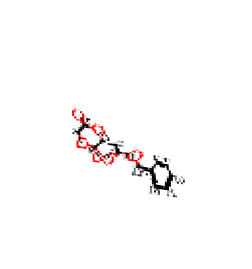 O=C(C[C@@H]1OC(=O)COC1=O)OCc1ccccc1